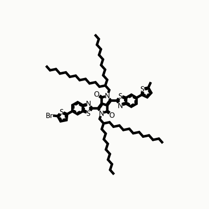 CCCCCCCCCCCCC(CCCCCCCCCC)CN1C(=O)C2=C(c3nc4ccc(-c5ccc(Br)s5)cc4s3)N(CC(CCCCCCCCCC)CCCCCCCCCCCC)C(=O)C2=C1c1nc2ccc(-c3ccc(C)s3)cc2s1